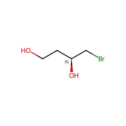 OCC[C@H](O)CBr